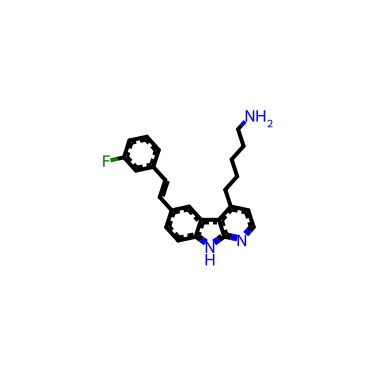 NCCCCCc1ccnc2[nH]c3ccc(C=Cc4cccc(F)c4)cc3c12